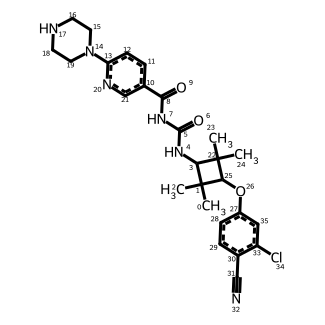 CC1(C)C(NC(=O)NC(=O)c2ccc(N3CCNCC3)nc2)C(C)(C)C1Oc1ccc(C#N)c(Cl)c1